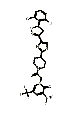 O=C(Cn1cc(C(F)(F)F)cc([N+](=O)[O-])c1=O)N1CCC(c2nc(C3=NOC(c4c(Cl)cccc4Cl)C3)cs2)CC1